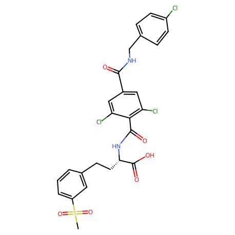 CS(=O)(=O)c1cccc(CC[C@H](NC(=O)c2c(Cl)cc(C(=O)NCc3ccc(Cl)cc3)cc2Cl)C(=O)O)c1